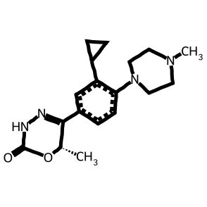 C[C@@H]1OC(=O)NN=C1c1ccc(N2CCN(C)CC2)c(C2CC2)c1